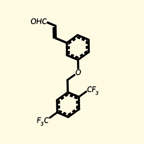 O=CC=Cc1cccc(OCc2cc(C(F)(F)F)ccc2C(F)(F)F)c1